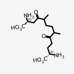 CC(CCC(C)C(=O)C[C@H](N)C(=O)O)C(=O)CC[C@H](N)C(=O)O